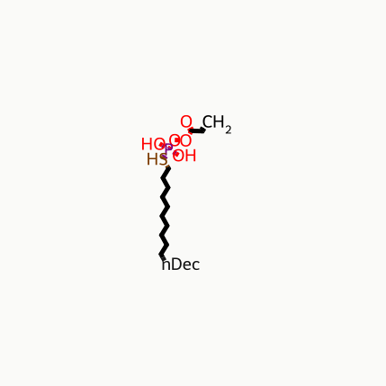 C=CC(=O)OOP(O)(O)=[SH]CCCCCCCCCCCCCCCCCCCC